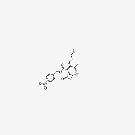 COCCSC(C(C)=O)=C(C(=O)OCc1ccc([N+](=O)[O-])cc1)N1C(=O)CC1Cl